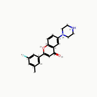 Cc1cc(F)cc(-c2cc(=O)c3cc(N4CCNCC4)ccc3o2)c1